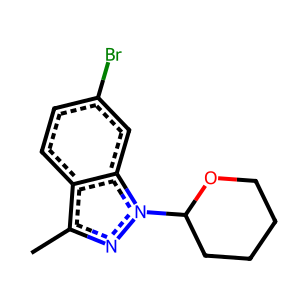 Cc1nn(C2CCCCO2)c2cc(Br)ccc12